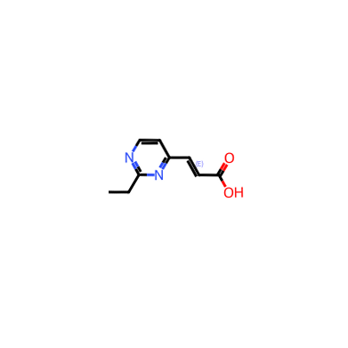 CCc1nccc(/C=C/C(=O)O)n1